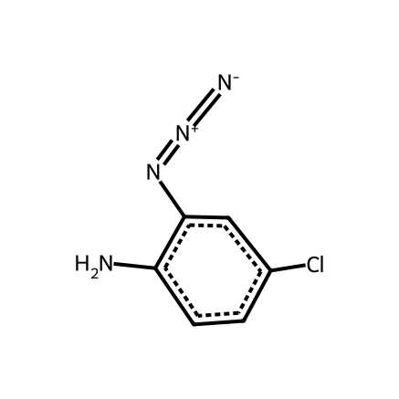 [N-]=[N+]=Nc1cc(Cl)ccc1N